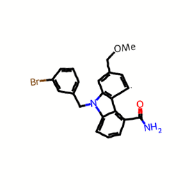 COCc1c[c]c2c3c(C(N)=O)cccc3n(Cc3cccc(Br)c3)c2c1